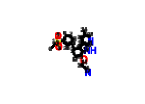 CCS(=O)(=O)c1cccc(C2=CC=C(OCC#N)C3Nc4ncc(C)cc4C23)c1